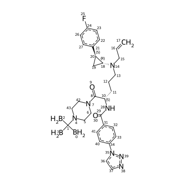 BC(B)(B)N1CCN(C(=O)[C@H](CCCN(CC=C)[C@@H]2C[C@H]2c2ccc(F)cc2)NC(=O)c2ccc(-n3ccnn3)cc2)CC1